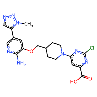 Cn1nncc1-c1cnc(N)c(OCC2CCN(c3cc(C(=O)O)nc(Cl)n3)CC2)c1